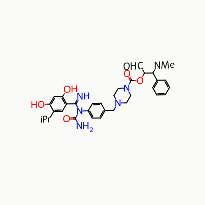 CNC(c1ccccc1)C(C=O)OC(=O)N1CCN(Cc2ccc(N(C(=N)c3cc(C(C)C)c(O)cc3O)C(N)=O)cc2)CC1